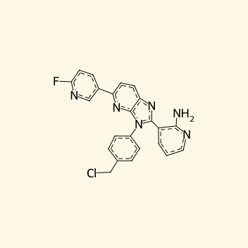 Nc1ncccc1-c1nc2ccc(-c3ccc(F)nc3)nc2n1-c1ccc(CCl)cc1